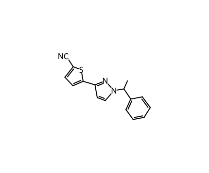 CC(c1ccccc1)n1ccc(-c2ccc(C#N)s2)n1